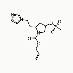 C=CCOC(=O)N1C[C@H](OS(C)(=O)=O)C[C@H]1CCn1ccnc1